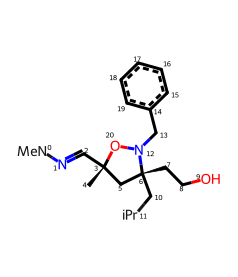 CN/N=C/[C@@]1(C)C[C@@](CCO)(CC(C)C)N(Cc2ccccc2)O1